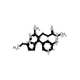 CCc1ccc2c(-c3cncc(Br)c3)c(CCC(=O)NC)c(C)nn12